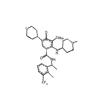 COc1c(NC2CCN(C)CC2)c(C(=O)NC(C)c2cccc(C(F)(F)F)c2C)cn(C2CCOCC2)c1=O